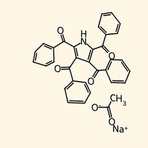 CC(=O)[O-].O=C(c1ccccc1)c1[nH]c(C(=O)c2ccccc2)c(C(=O)c2ccccc2)c1C(=O)c1ccccc1.[Na+]